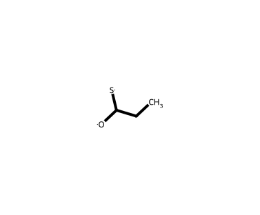 CCC([O])[S]